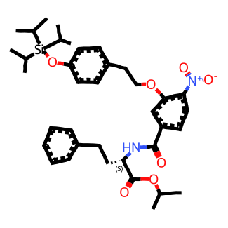 CC(C)OC(=O)[C@H](CCc1ccccc1)NC(=O)c1ccc([N+](=O)[O-])c(OCCc2ccc(O[Si](C(C)C)(C(C)C)C(C)C)cc2)c1